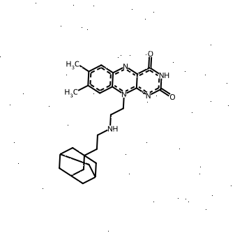 Cc1cc2nc3c(=O)[nH]c(=O)nc-3n(CCNCCC34CC5CC(CC(C5)C3)C4)c2cc1C